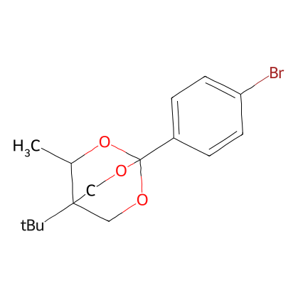 CC1OC2(c3ccc(Br)cc3)OCC1(C(C)(C)C)CO2